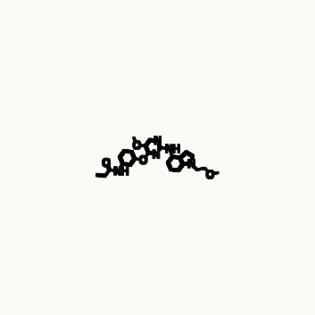 C=CC(=O)Nc1cccc(Oc2nc(Nc3cccc4c3ccn4CCOC)ncc2OC)c1